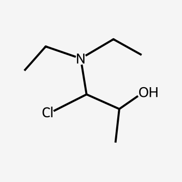 CCN(CC)C(Cl)C(C)O